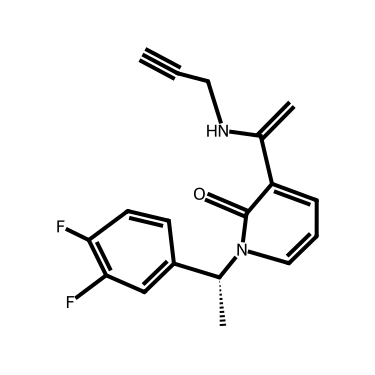 C#CCNC(=C)c1cccn([C@H](C)c2ccc(F)c(F)c2)c1=O